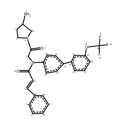 NC1CCN(C(=O)CN(C(=O)C=Cc2ccccc2)c2ccc(-c3cccc(OC(F)(F)F)c3)cc2)C1